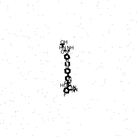 CC(C)(O)CNC(=O)N(C=N)c1ccc(N2CCN(c3ccc(-c4ccc(C(F)(F)[C@]5(O)Cn6nnnc6-c6cc(F)ccc65)nc4)cc3)CC2)cc1